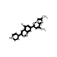 Cc1cn2nc(-c3cc(F)c4cc(C5C=CNCC5)nnc4c3)cc(C)c2n1